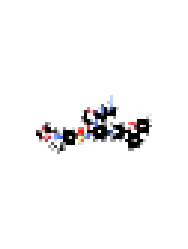 O=C(NS(=O)(=O)c1ccc(NC[C@@H]2COCCO2)c([N+](=O)[O-])c1)c1ccc(N2CCC(C(O)c3ccccc3-c3ccc(Cl)cc3)CC2)cc1N1CCCOc2nc3[nH]ccc3cc21